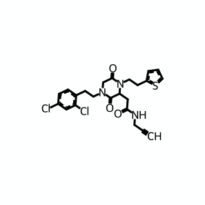 C#CCNC(=O)CC1C(=O)N(CCc2ccc(Cl)cc2Cl)CC(=O)N1CCc1cccs1